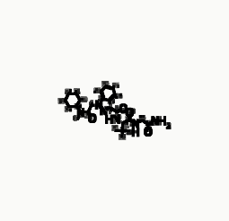 CN(C(=O)Cn1nc(C(=O)N[C@H](C(=O)NCC(N)=O)C(C)(C)C)c2ccccc21)C1CCCCC1